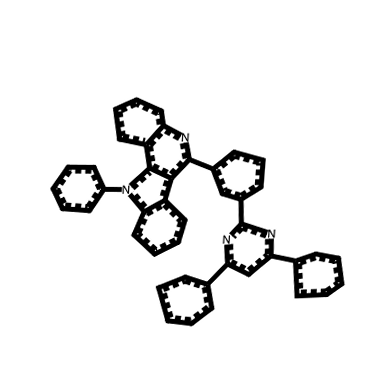 c1ccc(-c2cc(-c3ccccc3)nc(-c3cccc(-c4nc5ccccc5c5c4c4ccccc4n5-c4ccccc4)c3)n2)cc1